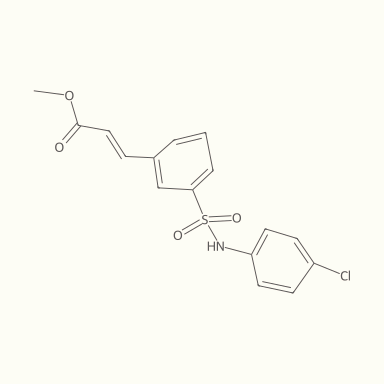 COC(=O)/C=C/c1cccc(S(=O)(=O)Nc2ccc(Cl)cc2)c1